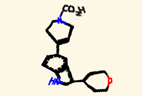 O=C(O)N1CC=C(c2ccc3[nH]cc(C4CCOCC4)c3c2)CC1